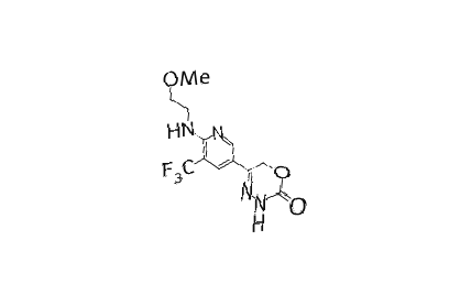 COCCNc1ncc(C2=NNC(=O)OC2)cc1C(F)(F)F